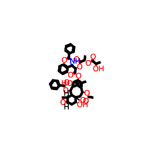 CC(=O)O[C@H]1C(=O)[C@@]2(C)C([C@@H]3CO[C@@H]3C[C@@H]2O)[C@H](OC(=O)c2ccccc2)[C@]2(O)C[C@H](OC(=O)[C@H](OC(=O)C(C)OC(=O)C(C)O)C(NC(=O)c3ccccc3)c3ccccc3)C(C)=C1C2(C)C